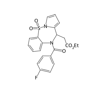 CCOC(=O)CC1c2cccn2S(=O)(=O)c2ccccc2N1C(=O)c1ccc(F)cc1